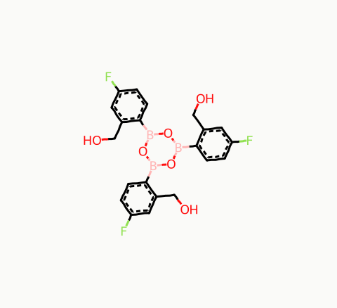 OCc1cc(F)ccc1B1OB(c2ccc(F)cc2CO)OB(c2ccc(F)cc2CO)O1